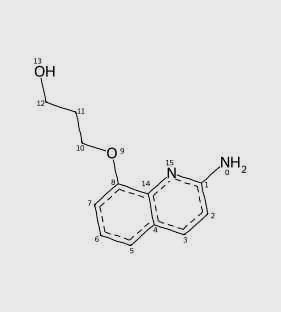 Nc1ccc2cccc(OCCCO)c2n1